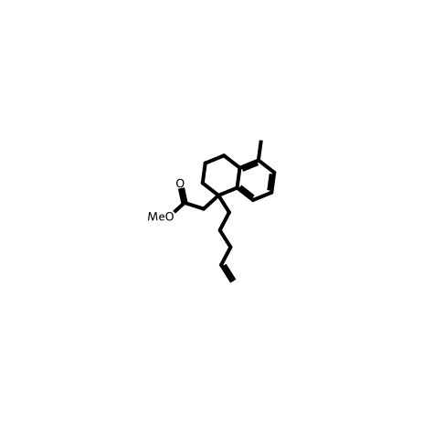 C=CCCCC1(CC(=O)OC)CCCc2c(C)cccc21